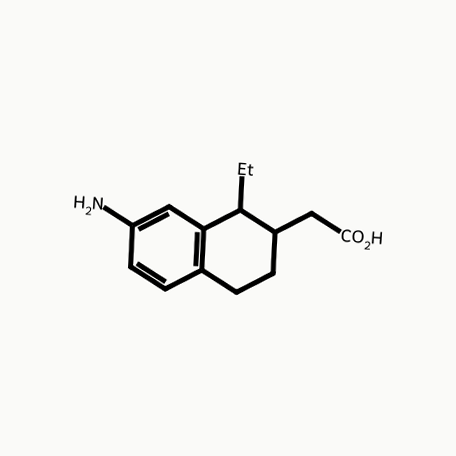 CCC1c2cc(N)ccc2CCC1CC(=O)O